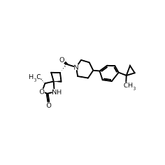 C[C@H]1OC(=O)N[C@]12C[C@@H](C(=O)N1CCC(c3ccc(C4(C)CC4)cc3)CC1)C2